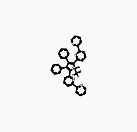 C[Si]1(C(F)(F)F)C(c2cccc(-c3ccccn3)n2)=C(c2ccccc2)C(c2ccccc2)=C1c1cccc(-c2ccccn2)n1